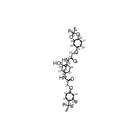 O=C(COc1ccc(C(F)(F)F)c(F)c1)NC12CCC(NC(=O)COc3ccc4c(c3)OC(F)(F)O4)(CC1)C(O)C2